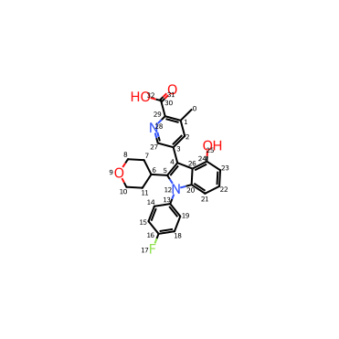 Cc1cc(-c2c(C3CCOCC3)n(-c3ccc(F)cc3)c3cccc(O)c23)cnc1C(=O)O